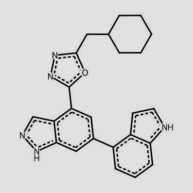 c1cc(-c2cc(-c3nnc(CC4CCCCC4)o3)c3cn[nH]c3c2)c2cc[nH]c2c1